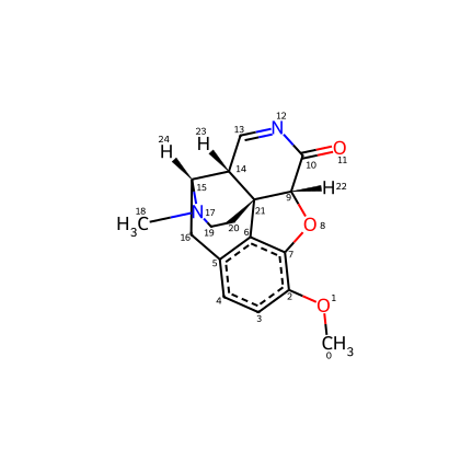 COc1ccc2c3c1O[C@H]1C(=O)N=C[C@H]4[C@@H](C2)N(C)CC[C@]314